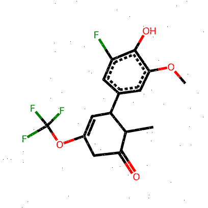 COc1cc(C2C=C(OC(F)(F)F)CC(=O)C2C)cc(F)c1O